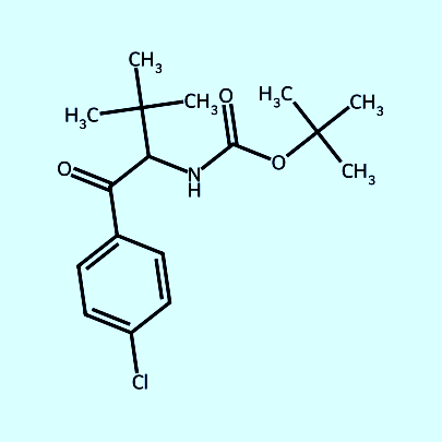 CC(C)(C)OC(=O)NC(C(=O)c1ccc(Cl)cc1)C(C)(C)C